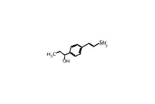 CCC(O)c1ccc(CC[SiH3])cc1